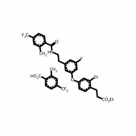 CCOC(=O)CCc1ccc(Oc2cc(F)cc(CCNC(=O)c3ccc(C(F)(F)F)cc3C)c2)cc1CC.Cc1cc(C(F)(F)F)ccc1C(=O)O